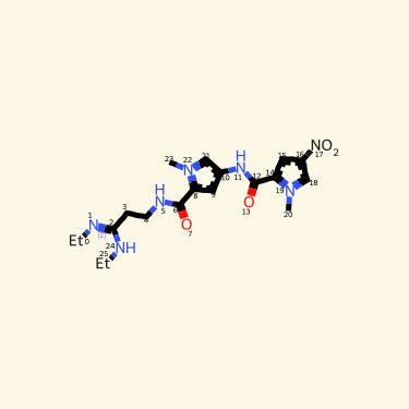 CC/N=C(/CCNC(=O)c1cc(NC(=O)c2cc([N+](=O)[O-])cn2C)cn1C)NCC